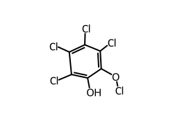 Oc1c(Cl)c(Cl)c(Cl)c(Cl)c1OCl